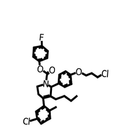 CCCCC1=C(c2cc(Cl)ccc2C)CCN(C(=O)Oc2ccc(F)cc2)C1c1ccc(OCCCCl)cc1